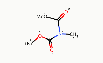 COC(=O)N(C)C(=O)OC(C)(C)C